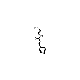 C=CCNC(=O)C=Cc1ccccc1